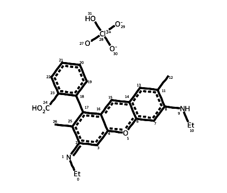 CC/N=c1\cc2oc3cc(NCC)c(C)cc3cc-2c(-c2ccccc2C(=O)O)c1C.[O-][Cl+3]([O-])([O-])O